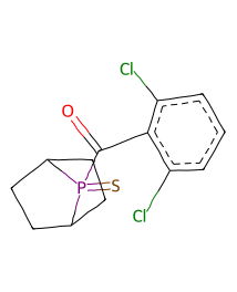 O=C(c1c(Cl)cccc1Cl)P1(=S)C2CCC1CC2